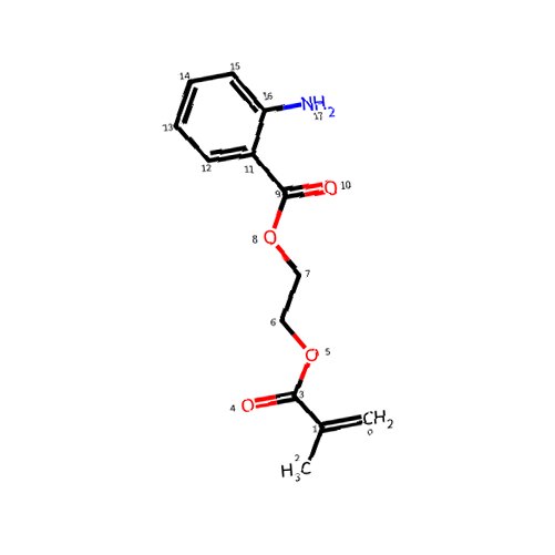 C=C(C)C(=O)OCCOC(=O)c1ccccc1N